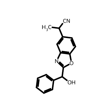 CC(C#N)c1ccc2oc(C(O)c3ccccc3)nc2c1